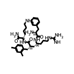 Cc1ccc(C[C@@H](C[C@@H](CCCNC(=N)N)NC(=O)[C@@H](N)Cc2ccccc2)C(=O)N[C@@H](CCCCN)C(N)=O)c(C)c1